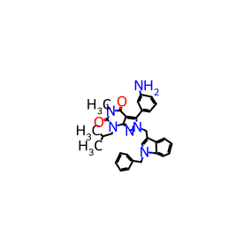 CC(C)Cn1c(=O)n(C)c(=O)c2c(-c3cccc(N)c3)n(Cc3cn(Cc4ccccc4)c4ccccc34)nc21